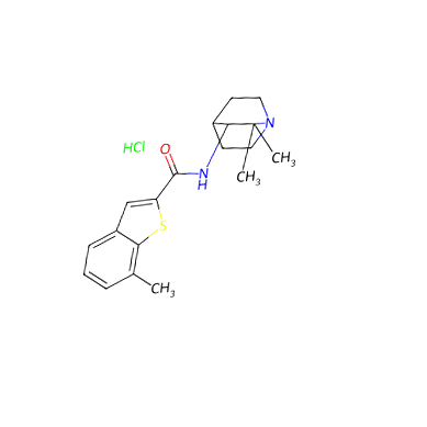 Cc1cccc2cc(C(=O)NC3C4CCN(CC4)C3(C)C)sc12.Cl